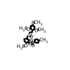 COc1cc(OC)c(/C=C/[S+]([O-])Cc2ccc(OC)c(OS(=O)(=O)c3ccc(C)cc3)c2)c(OC)c1